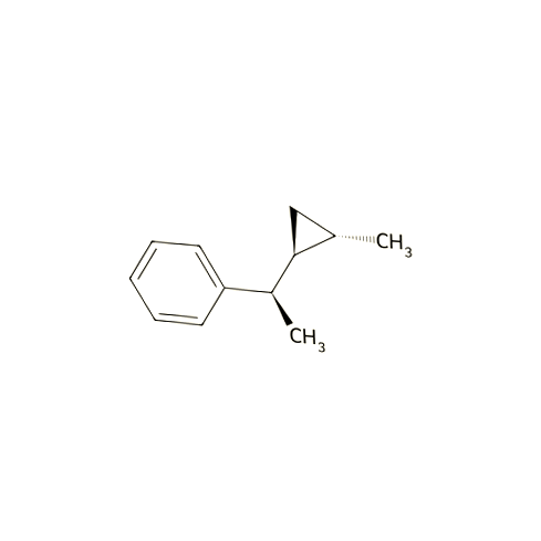 C[C@H]1C[C@@H]1[C@@H](C)c1ccccc1